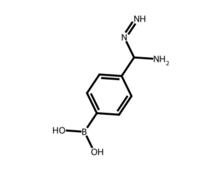 N=NC(N)c1ccc(B(O)O)cc1